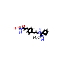 Cc1[nH]c2ccccc2c1NCCCc1ccc(/C=C/C(=O)NO)cc1